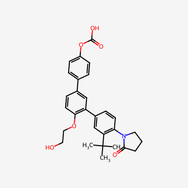 CC(C)(C)c1cc(-c2cc(-c3ccc(OC(=O)O)cc3)ccc2OCCO)ccc1N1CCCC1=O